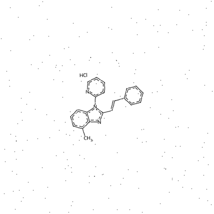 Cc1cccc2c1nc(/C=C/c1ccccc1)n2-c1ccccn1.Cl